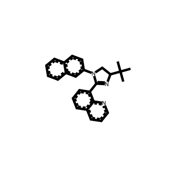 CC(C)(C)C1CN(c2ccc3ccccc3c2)C(c2cccc3cccnc23)=N1